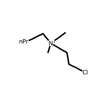 CCCC[N+](C)(C)CCCl